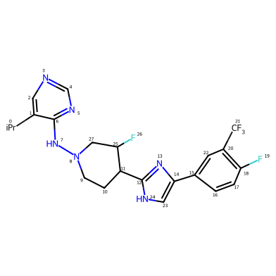 CC(C)c1cncnc1NN1CCC(c2nc(-c3ccc(F)c(C(F)(F)F)c3)c[nH]2)C(F)C1